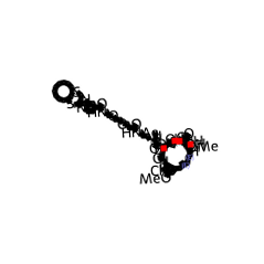 COc1cc2cc(c1Cl)N(C)C(=O)C[C@H](OC(=O)[C@H](CCCCNC(=O)CCOCCOCCNC(=O)c1ccc3nc4c(nc3c1)CSC1CCCCCCCCCC(C1)SC4)N(C)C(C)=O)[C@@]1(C)CC(C)(O1)[C@@H]1C[C@@](O)(NC(=O)O1)[C@H](OC)/C=C/C=C(\C)C2